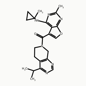 Cc1nc(NC2(C)CC2)c2c(C(=O)N3CCc4c(ncnc4C(C)C)C3)coc2n1